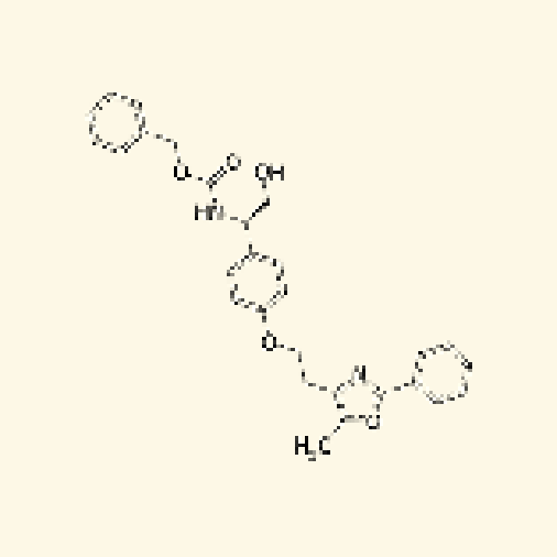 Cc1oc(-c2ccccc2)nc1CCOc1ccc([C@H](CO)NC(=O)OCc2ccccc2)cc1